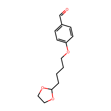 O=Cc1ccc(OCCCCC2OCCO2)cc1